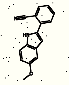 COc1ccc2[nH]c(-c3ccccc3C#N)cc2c1